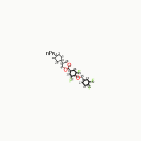 CCCC1CCC(C2COC(c3cc(F)c(OCc4ccc(F)c(F)c4)c(F)c3)OC2)CC1